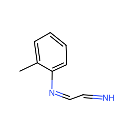 Cc1ccccc1/N=C\C=N